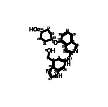 OCc1cc(Nc2ncc3cccc(O[C@H]4CC[C@@H](O)CC4)c3n2)cc2[nH]cnc12